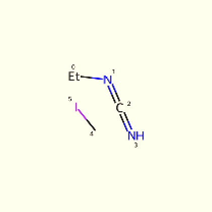 CCN=C=N.CI